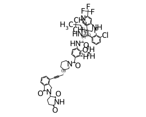 [2H]C([2H])([2H])Oc1cc(C(=O)N2CCC[C@@H](CC#Cc3cccc4c3CN(C3CCC(=O)NC3=O)C4=O)C2)ccc1NC(=O)[C@@H]1N[C@@H](CC(C)(C)C)[C@@]2(CNc3cc(C(F)(F)F)ncc32)[C@H]1c1cccc(Cl)c1F